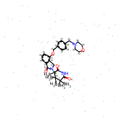 BC1(B)C(=O)NC(=O)[C@@](B)(N2Cc3c(OCc4ccc(CN5CCOCC5)cc4)cccc3C2=O)C1(B)B